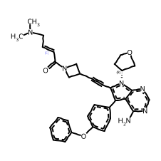 CN(C)C/C=C/C(=O)N1CC(C#Cc2c(-c3ccc(Oc4ccccc4)cc3)c3c(N)ncnc3n2[C@@H]2CCOC2)C1